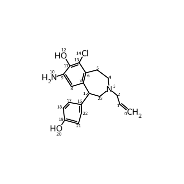 C=CCN1CCc2c(cc(N)c(O)c2Cl)C(c2ccc(O)cc2)C1